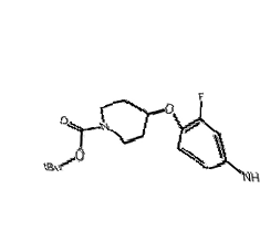 CC(C)(C)OC(=O)N1CCC(Oc2ccc(N)cc2F)CC1